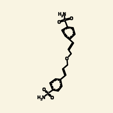 NS(=O)(=O)c1ccc(C=CCOCC=Cc2ccc(S(N)(=O)=O)cc2)cc1